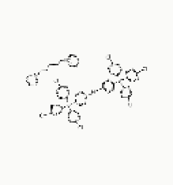 Clc1ccc([B-](c2ccc(Cl)cc2)(c2ccc(Cl)cc2)c2ccc(Cl)cc2)cc1.Clc1ccc([B-](c2ccc(Cl)cc2)(c2ccc(Cl)cc2)c2ccc(Cl)cc2)cc1.c1cc[n+](CCCCC[n+]2ccccc2)cc1